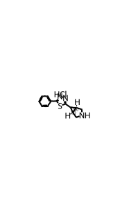 Cl.c1ccc(-c2nnc(C3[C@H]4CNC[C@@H]34)s2)cc1